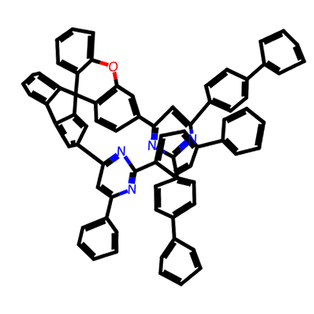 c1ccc(-c2ccc(-c3cc(-c4ccc5c(c4)Oc4ccccc4C54c5ccccc5-c5ccc(-c6cc(-c7ccccc7)nc(-c7ccc(-c8ccccc8)cc7)n6)cc54)nc(-c4ccc(-c5ccccc5)cc4)n3)cc2)cc1